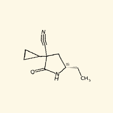 CC[C@H]1CC(C#N)(C2CC2)C(=O)N1